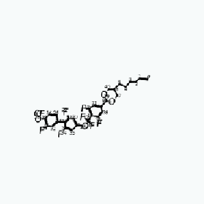 C=CCCCCC1COC(c2cc(F)c(C(F)(F)Oc3cc(F)c(-c4ccc(OC(F)(F)F)c(F)c4)c(F)c3)c(F)c2)OC1